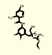 Cc1cc(C#N)cnc1C(=O)Nc1cc(F)c(F)c(C[C@](C)(CO)S/C(N)=N\CF)c1